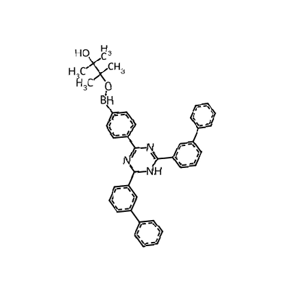 CC(C)(O)C(C)(C)OBc1ccc(C2=NC(c3cccc(-c4ccccc4)c3)NC(c3cccc(-c4ccccc4)c3)=N2)cc1